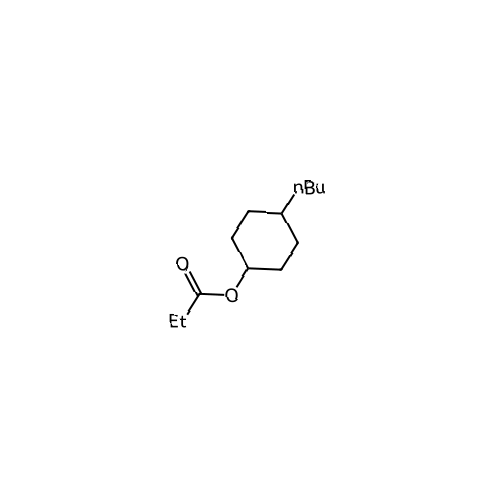 [CH2]CC(=O)OC1CCC(CCCC)CC1